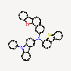 c1ccc(-n2c3ccccc3c3cc(N(c4ccc5ccc6c7ccccc7oc6c5c4)c4cccc5c4sc4ccccc45)ccc32)cc1